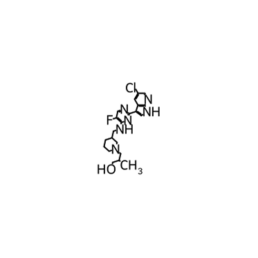 CC(CO)CN1CCCC(CNc2nc(-c3c[nH]c4ncc(Cl)cc34)ncc2F)C1